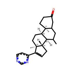 CC1CC2CC(=O)CC[C@]2(C)[C@@H]2CC[C@]3(C)C(c4ccncn4)=CC[C@H]3[C@H]12